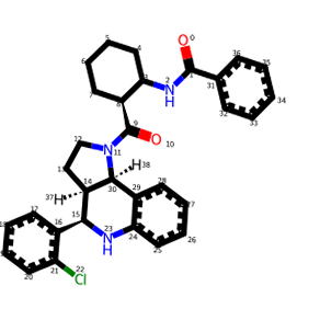 O=C(NC1CCCC[C@@H]1C(=O)N1CC[C@@H]2[C@H](c3ccccc3Cl)Nc3ccccc3[C@@H]21)c1ccccc1